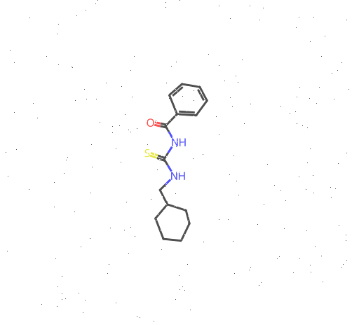 O=C(NC(=S)NC[C]1CCCCC1)c1ccccc1